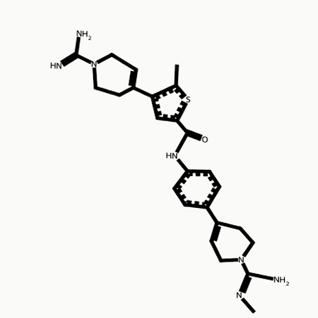 C/N=C(\N)N1CC=C(c2ccc(NC(=O)c3cc(C4=CCN(C(=N)N)CC4)c(C)s3)cc2)CC1